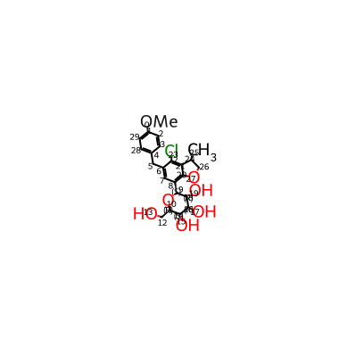 COc1ccc(Cc2cc([C@@H]3O[C@H](CO)[C@@H](O)[C@H](O)[C@H]3O)c3c(c2Cl)C(C)CO3)cc1